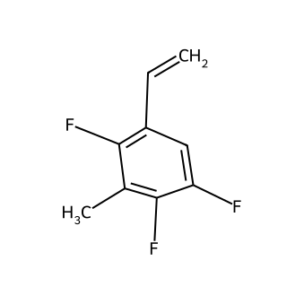 C=Cc1cc(F)c(F)c(C)c1F